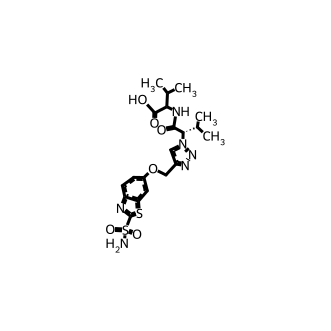 CC(C)C(NC(=O)[C@H](C(C)C)n1cc(COc2ccc3nc(S(N)(=O)=O)sc3c2)nn1)C(=O)O